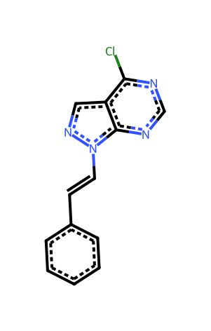 Clc1ncnc2c1cnn2/C=C/c1ccccc1